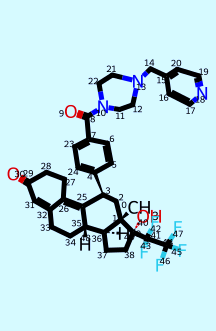 C[C@]12C[C@H](c3ccc(C(=O)N4CCN(Cc5ccncc5)CC4)cc3)C3=C4CCC(=O)C=C4CC[C@H]3[C@@H]1CC[C@]2(O)C(F)(F)C(F)(F)F